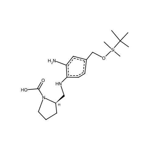 CC(C)(C)[Si](C)(C)OCc1ccc(NC[C@H]2CCCN2C(=O)O)c(N)c1